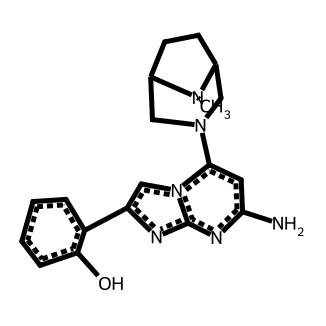 CN1C2CCC1CN(c1cc(N)nc3nc(-c4ccccc4O)cn13)C2